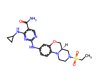 CCS(=O)(=O)N1CCN2c3ccc(Nc4ncc(C(N)=O)c(NC5CC5)n4)cc3OC[C@H]2C1